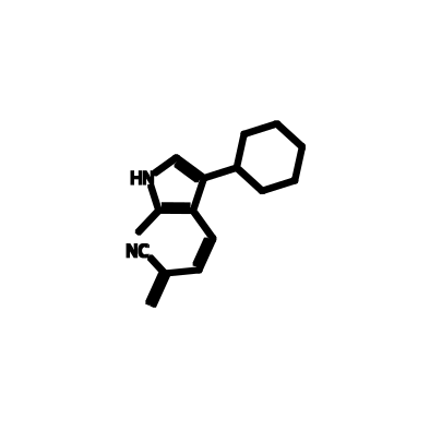 C=C(C#N)/C=C\c1c(C2CCCCC2)c[nH]c1C